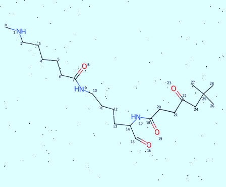 CNCCCCCC(=O)NCCCCC(C=O)NC(=O)CCC(=O)CC(C)(C)C